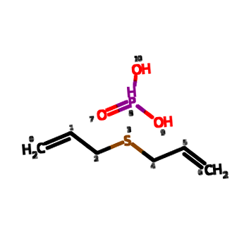 C=CCSCC=C.O=[PH](O)O